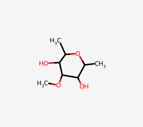 COC1C(O)C(C)OC(C)C1O